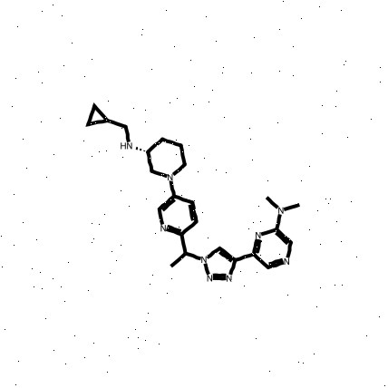 CC(c1ccc(N2CCC[C@@H](NCC3CC3)C2)cn1)n1cc(-c2cncc(N(C)C)n2)nn1